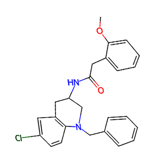 COc1ccccc1CC(=O)NC1Cc2cc(Cl)ccc2N(Cc2ccccc2)C1